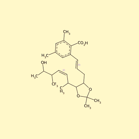 Cc1cc(C)c(C(=O)O)c(/C=C/CC2OC(C)(C)OC2C(C)/C=C\C(C(C)O)C(F)(F)F)c1